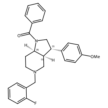 COc1ccc([C@H]2CN(C(=O)c3ccccc3)[C@@H]3CCN(Cc4ccccc4F)C[C@H]23)cc1